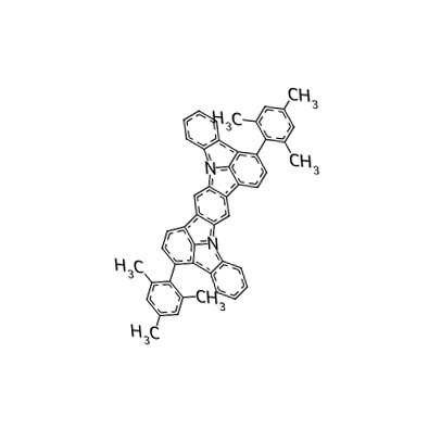 Cc1cc(C)c(-c2ccc3c4cc5c(cc4n4c6ccccc6c2c34)c2ccc(-c3c(C)cc(C)cc3C)c3c4ccccc4n5c23)c(C)c1